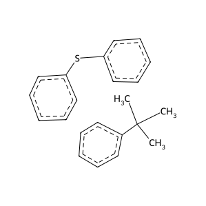 CC(C)(C)c1ccccc1.c1ccc(Sc2ccccc2)cc1